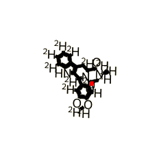 [2H]c1c([2H])c([C@]2([2H])c3[nH]c4c([2H])c([2H])c([2H])c([2H])c4c3C[C@]3([2H])C(=O)N(C([2H])([2H])[2H])CC(=O)N23)c([2H])c2c1OC([2H])([2H])O2